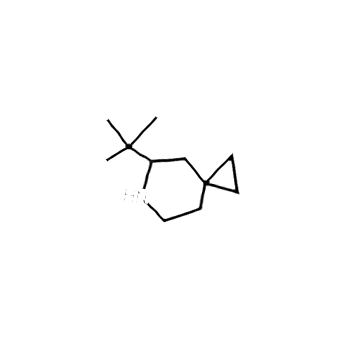 CC(C)(C)C1CC2(CCN1)CC2